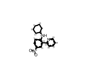 O=[N+]([O-])c1ccc(NC2CCCCC2)c(-c2ccccn2)c1